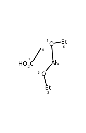 CC(=O)O.CC[O][Al][O]CC